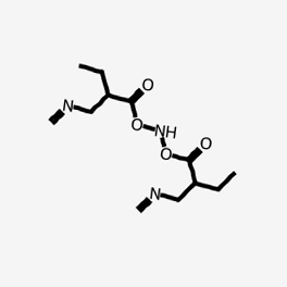 C=NCC(CC)C(=O)ONOC(=O)C(CC)CN=C